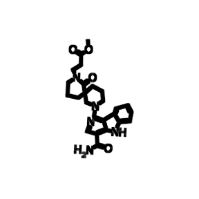 COC(=O)CCN1CCCC2(CCCN(c3ncc(C(N)=O)c4[nH]c5ccccc5c34)C2)C1=O